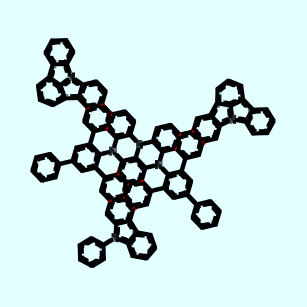 c1ccc(-c2cc(-c3ccccc3)c(N3c4cc(-c5ccc6c(c5)c5cccc7c8ccccc8n6c75)ccc4B4c5ccc(-c6ccc7c(c6)c6cccc8c9ccccc9n7c86)cc5N(c5c(-c6ccccc6)cc(-c6ccccc6)cc5-c5ccccc5)c5cc(-c6ccc7c(c6)c6ccccc6n7-c6ccccc6)cc3c54)c(-c3ccccc3)c2)cc1